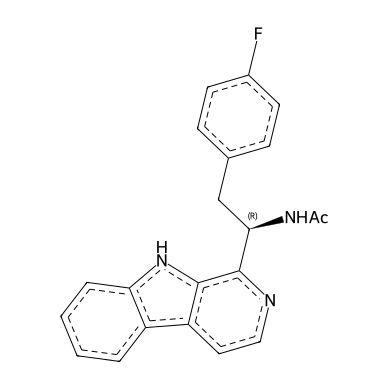 CC(=O)N[C@H](Cc1ccc(F)cc1)c1nccc2c1[nH]c1ccccc12